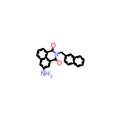 Nc1cc2c3c(cccc3c1)C(=O)N(Cc1ccc3ccccc3c1)C2=O